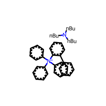 CCCCN(CCCC)CCCC.c1ccc(-c2ccccc2[N+](c2ccccc2)(c2ccccc2)c2ccccc2)cc1